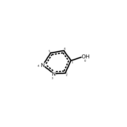 Oc1[c]nncc1